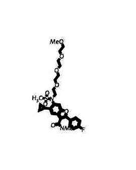 CNC(=O)c1c(-c2ccc(F)cc2)oc2cc(N(CCOCCOCCOCCOC)S(C)(=O)=O)c(C3CC3)cc12